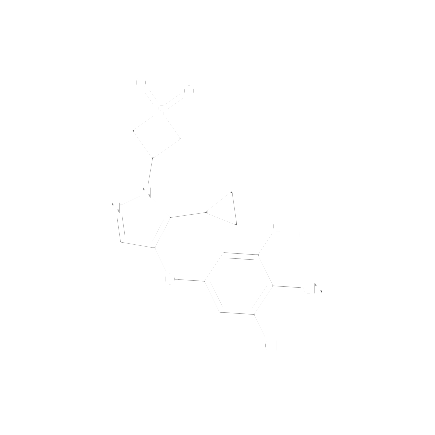 Cc1cc(Oc2cnn(C3CS(=O)(=O)C3)c2C2CC2)cc(C)c1C#N